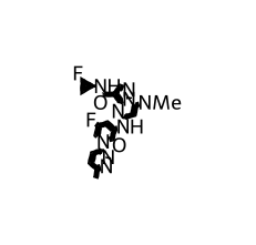 CNc1cc(Nc2cc(F)cn(-c3ccc(C)nn3)c2=O)nc2c(C(=O)N[C@H]3C[C@H]3F)cnn12